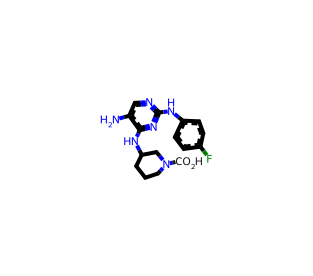 Nc1cnc(Nc2ccc(F)cc2)nc1NC1CCCN(C(=O)O)C1